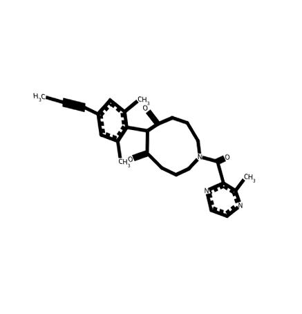 CC#Cc1cc(C)c(C2C(=O)CCCN(C(=O)c3nccnc3C)CCCC2=O)c(C)c1